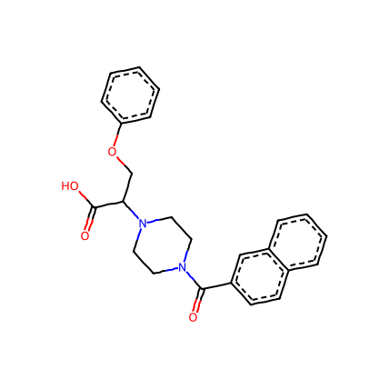 O=C(O)C(COc1ccccc1)N1CCN(C(=O)c2ccc3ccccc3c2)CC1